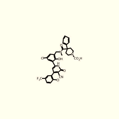 CN(Cc1cc(Cl)cc(-c2cc(-c3cc(C(F)(F)F)ccc3Cl)c(C#N)c(=O)[nH]2)c1O)C(=O)C1(c2ccccc2)CCN(C(=O)O)CC1